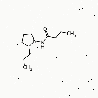 CCCC(=O)NN1CCC[C@@H]1CCC